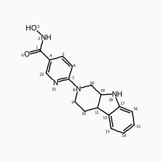 O=C(NO)c1ccc(N2CCC3c4ccccc4NC3C2)nc1